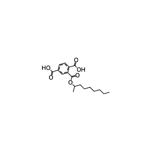 CCCCCCCC(C)OC(=O)c1cc(C(=O)O)ccc1C(=O)O